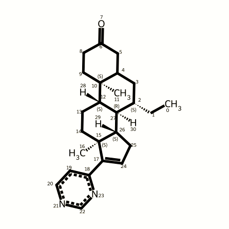 CC[C@H]1CC2CC(=O)CC[C@]2(C)[C@H]2CC[C@]3(C)C(c4ccncn4)=CC[C@H]3[C@H]12